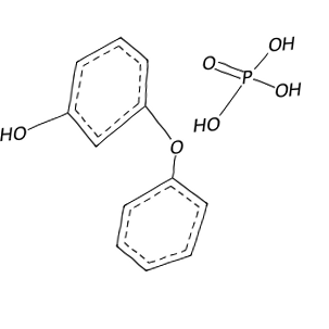 O=P(O)(O)O.Oc1cccc(Oc2ccccc2)c1